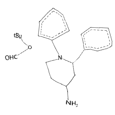 CC(C)(C)OC=O.NC1CCN(c2ccccc2)C(c2ccccc2)C1